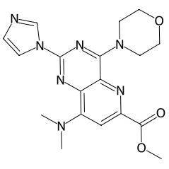 COC(=O)c1cc(N(C)C)c2nc(-n3ccnc3)nc(N3CCOCC3)c2n1